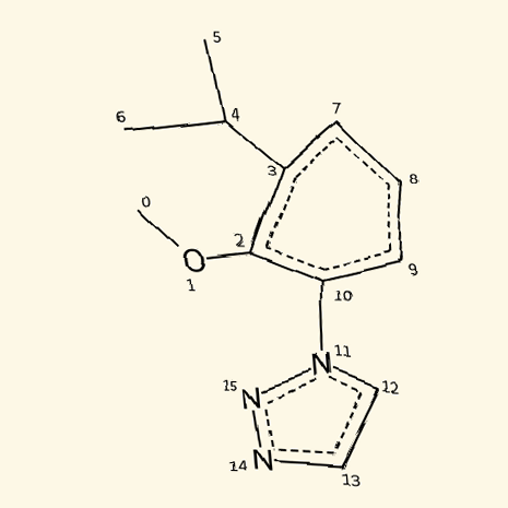 COc1c(C(C)C)cccc1-n1ccnn1